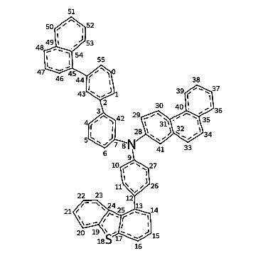 c1cc(-c2cccc(N(c3ccc(-c4cccc5sc6ccccc6c45)cc3)c3ccc4c(ccc5ccccc54)c3)c2)cc(-c2cccc3ccccc23)c1